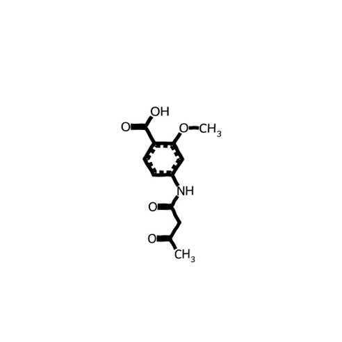 COc1cc(NC(=O)CC(C)=O)ccc1C(=O)O